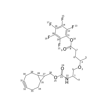 CC(COC(C)CCC(=O)Oc1c(F)c(F)c(F)c(F)c1F)NC(=O)OCC1C2CCC#CCCC21